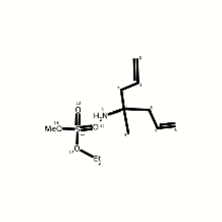 C=CCC(C)(N)CC=C.CCOS(=O)(=O)OC